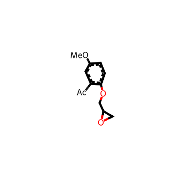 COc1ccc(OCC2CO2)c(C(C)=O)c1